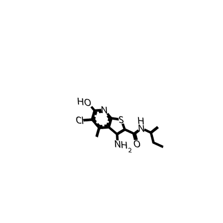 CCC(C)NC(=O)C1Sc2nc(O)c(Cl)c(C)c2C1N